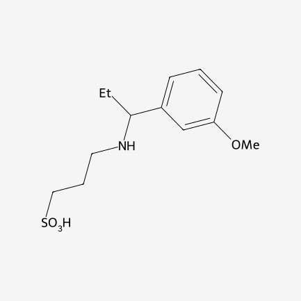 CCC(NCCCS(=O)(=O)O)c1cccc(OC)c1